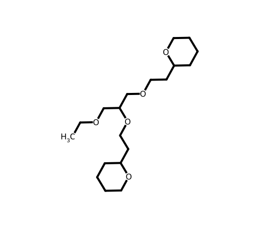 CCOCC(COCCC1CCCCO1)OCCC1CCCCO1